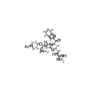 CC(=O)N1CCC(OC(=O)N[C@@H](CC(C)C)C(=O)N[C@@H](CCCNC(=N)N)C(=O)c2nc3ccccc3s2)CC1